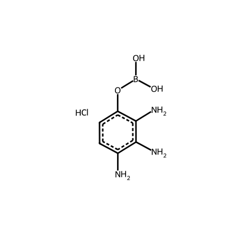 Cl.Nc1ccc(OB(O)O)c(N)c1N